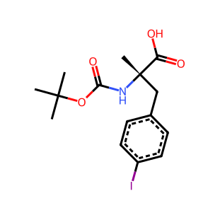 CC(C)(C)OC(=O)N[C@@](C)(Cc1ccc(I)cc1)C(=O)O